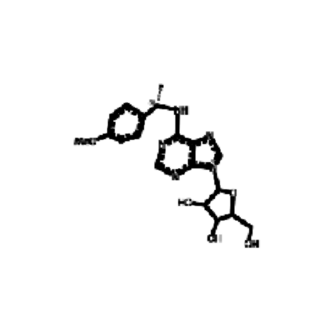 COc1ccc([C@H](C)Nc2ncnc3c2ncn3C2OC(CO)C(O)C2O)cc1